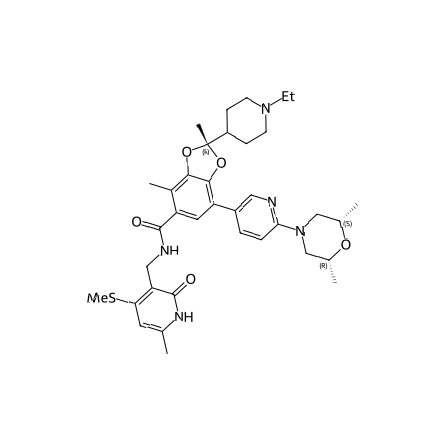 CCN1CCC([C@]2(C)Oc3c(-c4ccc(N5C[C@@H](C)O[C@@H](C)C5)nc4)cc(C(=O)NCc4c(SC)cc(C)[nH]c4=O)c(C)c3O2)CC1